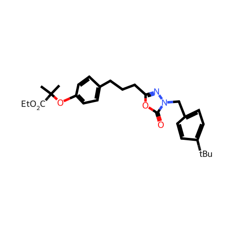 CCOC(=O)C(C)(C)Oc1ccc(CCCc2nn(Cc3ccc(C(C)(C)C)cc3)c(=O)o2)cc1